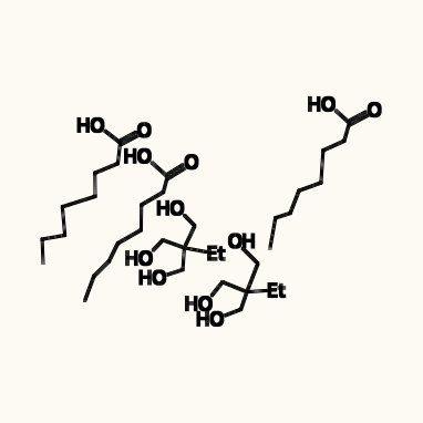 CCC(CO)(CO)CO.CCC(CO)(CO)CO.CCCCCCCC(=O)O.CCCCCCCC(=O)O.CCCCCCCC(=O)O